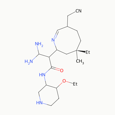 CCOC1CCNCC1NC(=O)C(C(N)N)C1C[C@](C)(CC)CCC(CC#N)/C=N\1